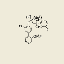 COc1ccccc1-c1ccc(CC(O)(CC(C)(C)c2cc(F)ccc2OC)C(F)(F)F)c(C(C)C)c1